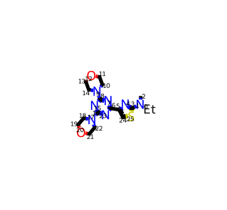 CCN(C)c1nc(-c2nc(N3CCOCC3)nc(N3CCOCC3)n2)cs1